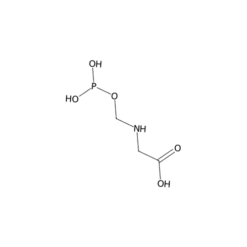 O=C(O)CNCOP(O)O